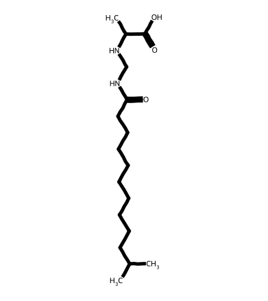 CC(C)CCCCCCCCCC(=O)NCNC(C)C(=O)O